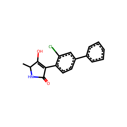 CC1NC(=O)C(c2ccc(-c3ccccc3)cc2Cl)=C1O